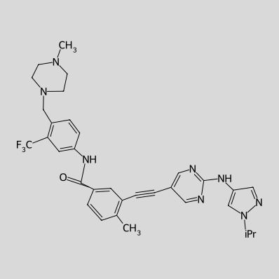 Cc1ccc(C(=O)Nc2ccc(CN3CCN(C)CC3)c(C(F)(F)F)c2)cc1C#Cc1cnc(Nc2cnn(C(C)C)c2)nc1